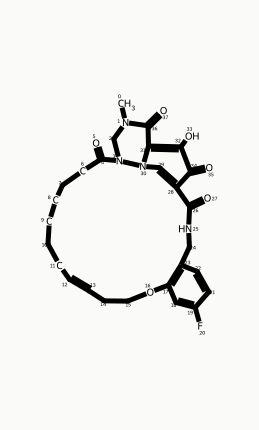 CN1CN2C(=O)CCCCCCC=CCCOc3cc(F)ccc3CNC(=O)c3cn2c(c(O)c3=O)C1=O